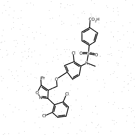 CC(C)c1onc(-c2c(Cl)cccc2Cl)c1COc1ccc(N(C)S(=O)(=O)c2ccc(C(=O)O)cc2)c(Cl)c1